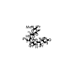 CCCC(=O)N(C)[C@H](C)C(=O)N(C)[C@@H](CC(C)C)C(=O)N[C@H](C(=O)N(C)[C@@H](CC(C)C)C(=O)N[C@H](C)C(=O)NC(=O)N(C)C(C(=O)NC)C(C)C)C(C)C